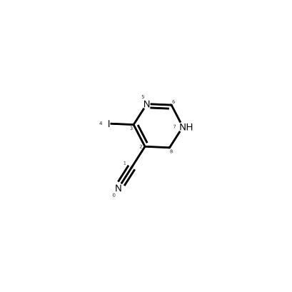 N#CC1=C(I)N=CNC1